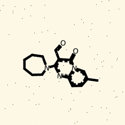 Cc1ccc2nc(N3CCCCCC3)c(C=O)c(=O)n2c1